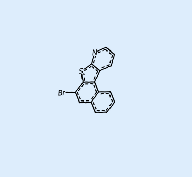 Brc1cc2ccccc2c2c1sc1ncccc12